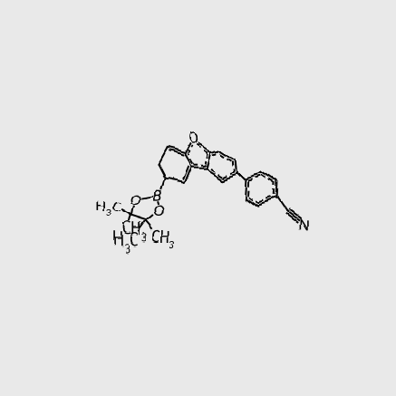 CC1(C)OB(C2C=c3c(oc4ccc(-c5ccc(C#N)cc5)cc34)=CC2)OC1(C)C